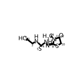 C#CCNC(=S)NN=C1SCC(=O)N1C